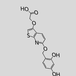 O=C(O)COc1csc2nc(OCc3ccc(O)cc3O)ccc12